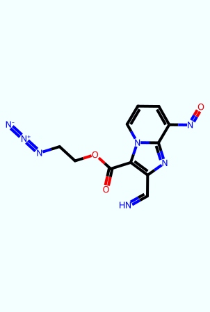 [N-]=[N+]=NCCOC(=O)c1c(C=N)nc2c(N=O)cccn12